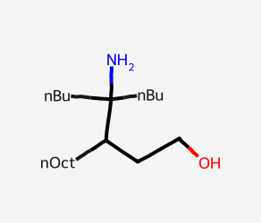 CCCCCCCCC(CCO)C(N)(CCCC)CCCC